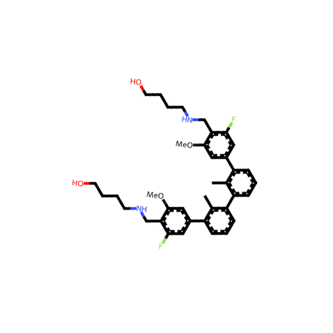 COc1cc(-c2cccc(-c3cccc(-c4cc(F)c(CNCCCCO)c(OC)c4)c3C)c2C)cc(F)c1CNCCCCO